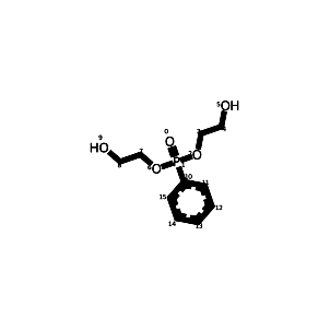 O=P(OCCO)(OCCO)c1ccccc1